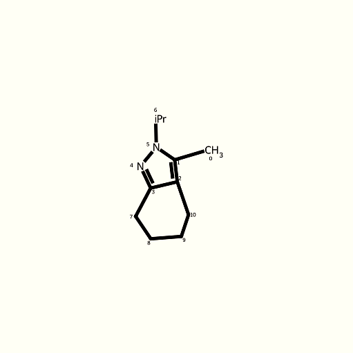 Cc1c2c(nn1C(C)C)CCCC2